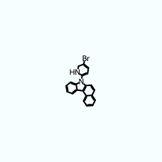 BrC1=CC=C(n2c3ccccc3c3c4ccccc4ccc32)NC1